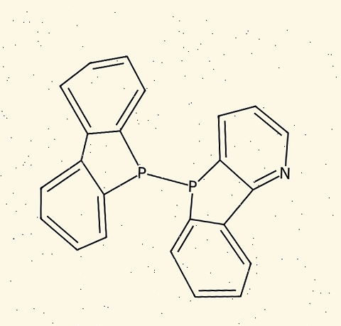 c1ccc2c(c1)c1ccccc1p2-p1c2ccccc2c2ncccc21